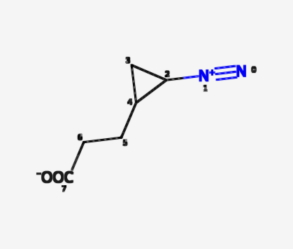 N#[N+]C1CC1CCC(=O)[O-]